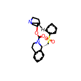 O=C(O[C@@H]1CN2CCC1CC2)N1CCc2ccccc2[C@H]1CS(=O)(=O)c1ccccc1